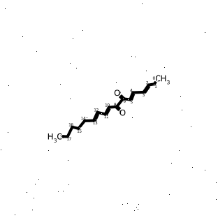 CCC=CC=CC(=O)C(=O)C=CC=CCCCCC